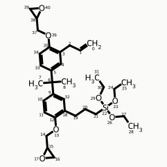 C=CCc1cc(C(C)(C)c2ccc(OCC3CO3)c(CCC[Si](OCC)(OCC)OCC)c2)ccc1OCC1CO1